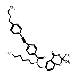 CCCCCCN(Cc1ccc2c(c1)C(=O)OC(C)(C)O2)C(=O)c1ccc(C#Cc2ccc(CCCC)cc2)cc1